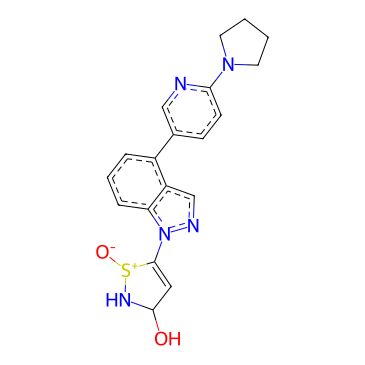 [O-][S+]1NC(O)C=C1n1ncc2c(-c3ccc(N4CCCC4)nc3)cccc21